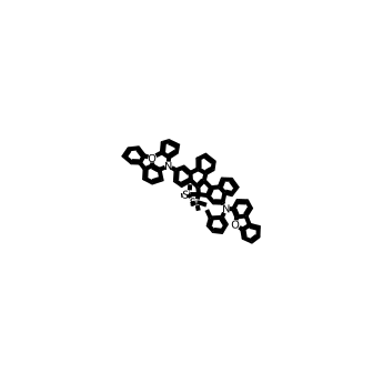 Cc1ccccc1N(c1ccc2c3c(c4ccccc4c2c1)-c1c(cc(N(c2ccccc2C)c2cccc4c2oc2ccccc24)c2ccccc12)C3([Si](C)(C)C)[Si](C)(C)C)c1cccc2c1oc1ccccc12